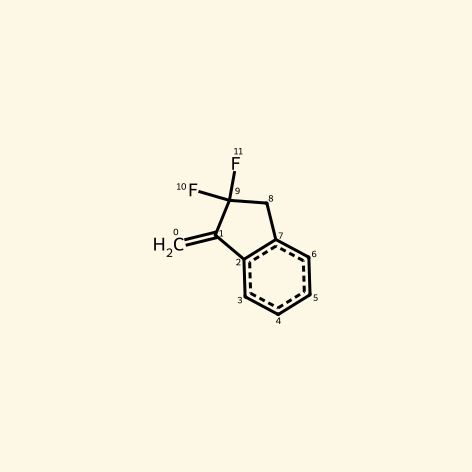 C=C1c2ccccc2CC1(F)F